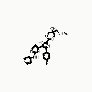 CC(=O)NCC1(C)COC(c2nc(-c3ccc(F)cc3)c(-c3ccnc(Nc4ccncc4)n3)[nH]2)OC1